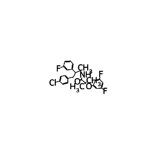 CC(NC(=O)C(C)(C)Oc1cc(F)cc(F)c1)C(Cc1ccc(Cl)cc1)c1cccc(F)c1